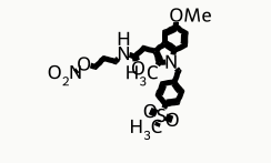 COc1ccc2c(c1)c(CC(=O)NCCCO[N+](=O)[O-])c(C)n2Cc1ccc(S(C)(=O)=O)cc1